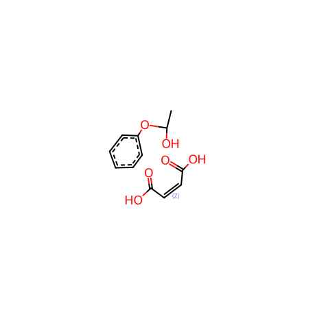 CC(O)Oc1ccccc1.O=C(O)/C=C\C(=O)O